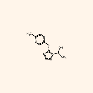 Cc1ccc(Cn2ncnc2C(C)O)cc1